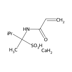 C=CC(=O)NC(C)(C(C)C)S(=O)(=O)O.[CaH2]